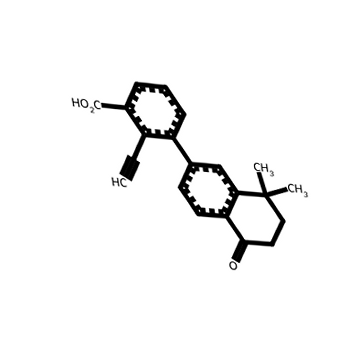 C#Cc1c(C(=O)O)cccc1-c1ccc2c(c1)C(C)(C)CCC2=O